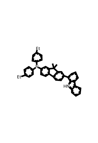 CCc1ccc(N(c2ccc(CC)cc2)c2ccc3c(c2)C(C)(C)c2cc(-c4cccc5c4[nH]c4ccccc45)ccc2-3)cc1